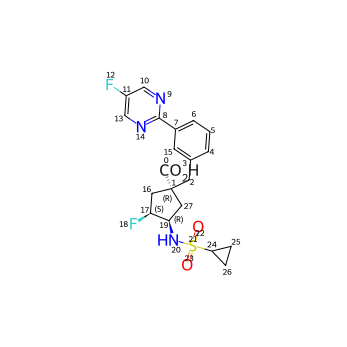 O=C(O)[C@@]1(Cc2cccc(-c3ncc(F)cn3)c2)C[C@H](F)[C@H](NS(=O)(=O)C2CC2)C1